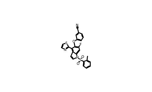 Cc1ccccc1S(=O)(=O)n1ccc2c(-c3nccs3)c(Oc3cccc(C#N)c3)c(F)cc21